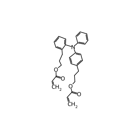 C=CC(=O)OCCCc1ccc(N(c2ccccc2)c2ccccc2CCCOC(=O)C=C)cc1